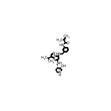 C/C=C(\C)C(=O)Nc1cccc(CNc2cc(NC[C@H]3CCNC[C@@H]3O)nc3c(C(C)C)cnn23)c1